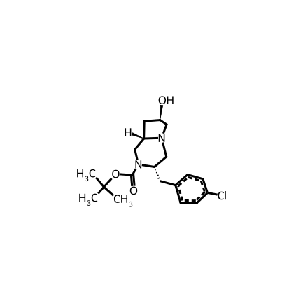 CC(C)(C)OC(=O)N1C[C@@H]2C[C@@H](O)CN2C[C@@H]1Cc1ccc(Cl)cc1